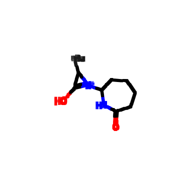 CCCCC1C(O)=[N+]1C1CCCCC(=O)N1